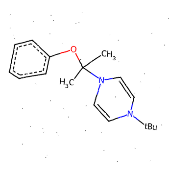 CC(C)(C)N1C=CN(C(C)(C)Oc2ccccc2)C=C1